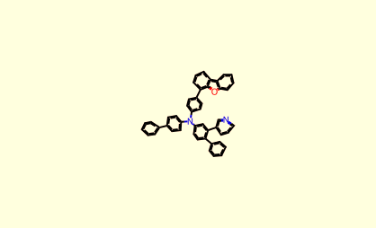 c1ccc(-c2ccc(N(c3ccc(-c4cccc5c4oc4ccccc45)cc3)c3ccc(-c4ccccc4)c(-c4cccnc4)c3)cc2)cc1